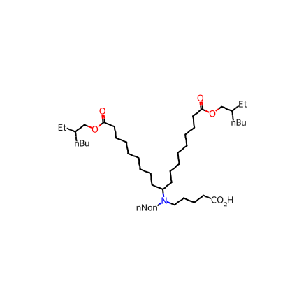 CCCCCCCCCN(CCCCC(=O)O)C(CCCCCCCCC(=O)OCC(CC)CCCC)CCCCCCCCC(=O)OCC(CC)CCCC